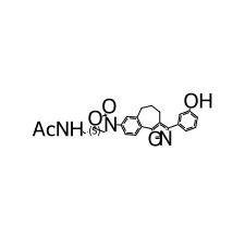 CC(=O)NC[C@H]1CN(c2ccc3c(c2)CCCc2c(-c4cccc(O)c4)noc2-3)C(=O)O1